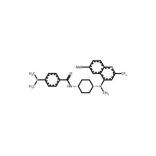 CNc1ccc2nc(C(F)(F)F)cc(N(C)[C@H]3CC[C@@H](NC(=O)c4ccc(N(C)C)cc4)CC3)c2c1